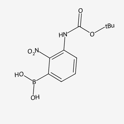 CC(C)(C)OC(=O)Nc1cccc(B(O)O)c1[N+](=O)[O-]